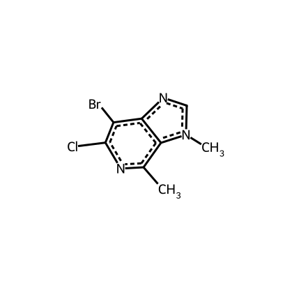 Cc1nc(Cl)c(Br)c2ncn(C)c12